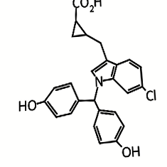 O=C(O)C1CC1Cc1cn(C(c2ccc(O)cc2)c2ccc(O)cc2)c2cc(Cl)ccc12